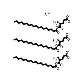 CCCCCCCCCCCCCCCCCC(=O)OC(=O)C(N)CCC(=O)[O-].CCCCCCCCCCCCCCCCCC(=O)OC(=O)C(N)CCC(=O)[O-].CCCCCCCCCCCCCCCCCC(=O)OC(=O)C(N)CCC(=O)[O-].[Al+3]